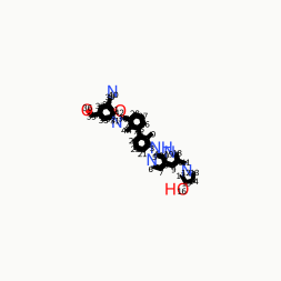 Cc1c(Nc2nccc3cc(CN4CC[C@@H](O)C4)cnc23)cccc1-c1cccc(-c2nc3cc(C=O)cc(C#N)c3o2)c1C